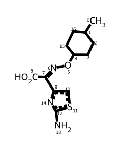 CC1CCC(ON=C(C(=O)O)c2csc(N)n2)CC1